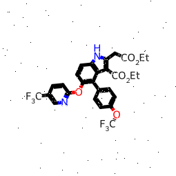 CCOC(=O)Cc1[nH]c2ccc(Oc3ccc(C(F)(F)F)cn3)c(-c3ccc(OC(F)(F)F)cc3)c2c1C(=O)OCC